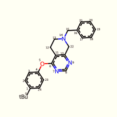 CC(C)(C)c1ccc(Oc2ncnc3c2CCN(Cc2ccccc2)C3)cc1